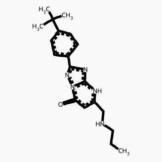 CCCNCc1cc(=O)n2nc(-c3ccc(C(C)(C)C)cc3)nc2[nH]1